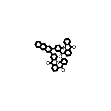 O=c1c2ccccc2n2c3ccc(-c4cc5cc6ccccc6cc5cc4-c4ccc5c(c4)c(=O)c4cccc6c(=O)c7ccccc7n5c64)cc3c(=O)c3cccc1c32